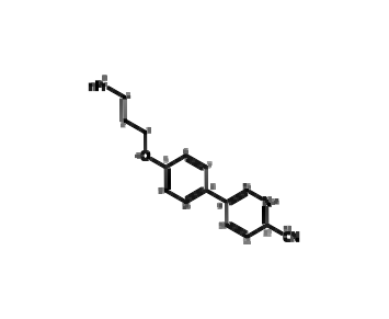 CCC/C=C/COc1ccc(-c2ccc(C#N)nc2)cc1